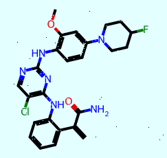 C=C(C(N)=O)c1ccccc1Nc1nc(Nc2ccc(N3CCC(F)CC3)cc2OC)ncc1Cl